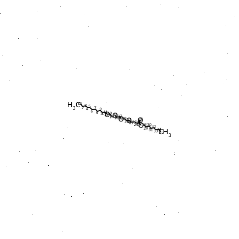 CCCCCCCCCCCCOCCOCCOCCOCCCC(=O)OCCCCCCCC